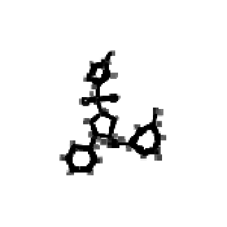 Cn1cnc(S(=O)(=O)N2C[C@H](Nc3cncc(F)c3)[C@@H](c3ccccc3)C2)c1